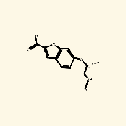 CCNC[C@@H](C)Oc1ccc2cc(C(=O)C(C)C)oc2c1